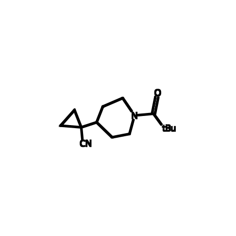 CC(C)(C)C(=O)N1CCC(C2(C#N)CC2)CC1